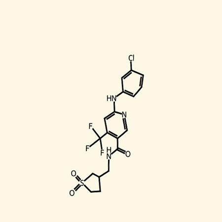 O=C(NCC1CCS(=O)(=O)C1)c1cnc(Nc2cccc(Cl)c2)cc1C(F)(F)F